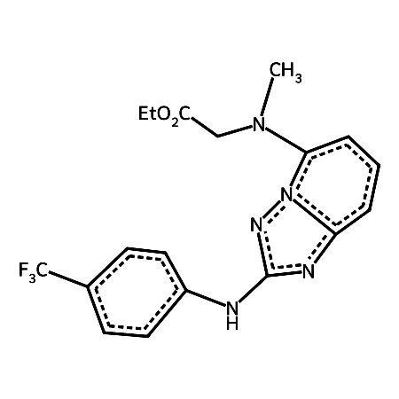 CCOC(=O)CN(C)c1cccc2nc(Nc3ccc(C(F)(F)F)cc3)nn12